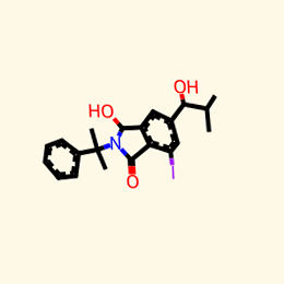 CC(C)C(O)c1cc(I)c2c(c1)C(O)N(C(C)(C)c1ccccc1)C2=O